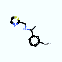 COc1cccc(C(C)NCc2nccs2)c1